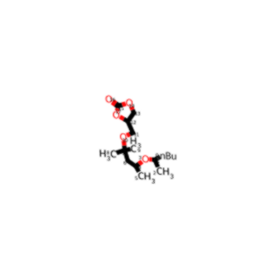 CCCCC(C)OC(C)CC(C)(C)OCC1COC(=O)O1